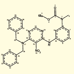 CN(C(=O)OC(C)(C)C)c1cccc(Nc2ncnc(N(Cc3ccccc3)Cc3ccccc3)c2[N+](=O)[O-])c1